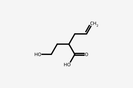 C=CC[C](CCO)C(=O)O